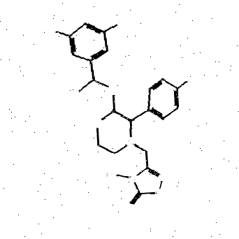 CC(OC1OCCN(Cc2n[nH]c(=O)n2C(C)C)C1c1ccc(F)cc1)c1cc(C(F)(F)F)cc(C(F)(F)F)c1